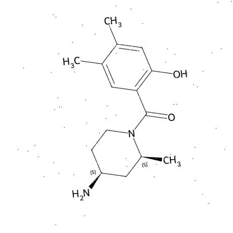 Cc1cc(O)c(C(=O)N2CC[C@H](N)C[C@@H]2C)cc1C